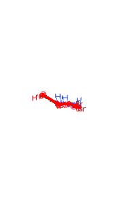 O=C(O)CCCCCCCCCCCCCCCCC(=O)N[C@@H](CCCCNC(=O)CCOCCOCCNC(=O)[C@H](CCCNC(=O)CBr)NC(=O)CBr)C(=O)O